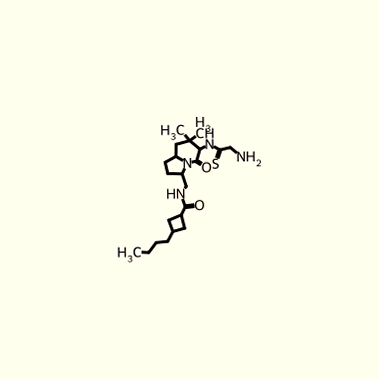 CCCCC1CC(C(=O)NCC2CCC3CC(C)(C)C(NC(=S)CN)C(=O)N23)C1